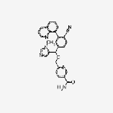 Cn1cncc1C(OCc1ccc(C(N)=O)cn1)c1ccc(C#N)c(-c2cccc3cccnc23)c1